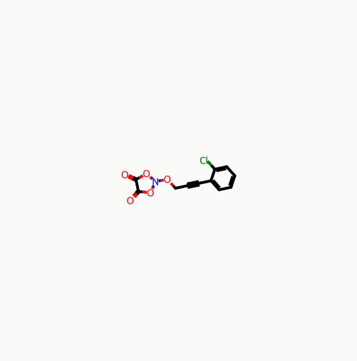 O=c1on(OCC#Cc2ccccc2Cl)oc1=O